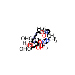 C/C(=C\C=C\[C@@H](C)COC(=O)N1[C@@H](C)CC[C@@H]1C)[C@@H](C=O)[C@@H](C)/C=C/[C@H](OC(=O)N1CCN(C)CC1)[C@@](C)(O)CC[C@H](O)CC=O